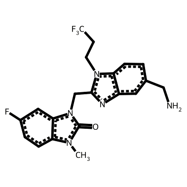 Cn1c(=O)n(Cc2nc3cc(CN)ccc3n2CCC(F)(F)F)c2cc(F)ccc21